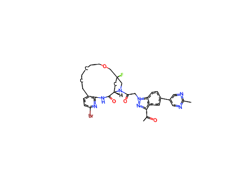 CC(=O)c1nn(CC(=O)N2C[C@@]3(F)COCCCCCCc4ccc(Br)nc4NC(=O)[C@@H]2C3)c2ccc(-c3cnc(C)nc3)cc12